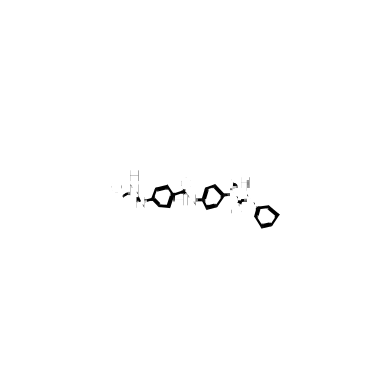 O=CNNc1ccc(C(=O)Nc2ccc(N(S)C(=O)Nc3ccccc3)cc2)cc1